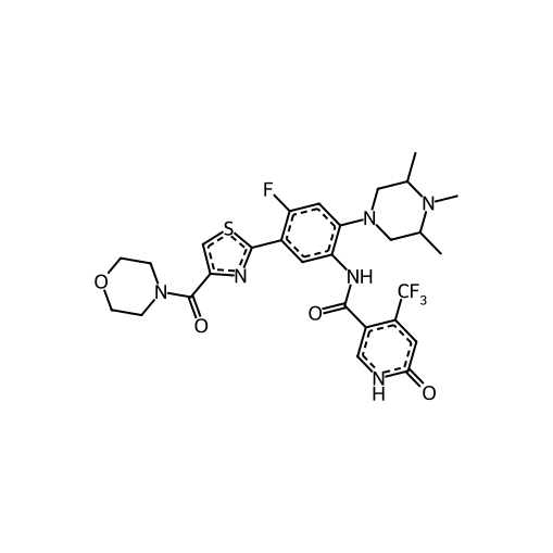 CC1CN(c2cc(F)c(-c3nc(C(=O)N4CCOCC4)cs3)cc2NC(=O)c2c[nH]c(=O)cc2C(F)(F)F)CC(C)N1C